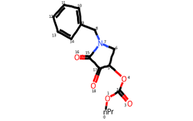 CCCOC(=O)OC1CN(Cc2ccccc2)C(=O)C1=O